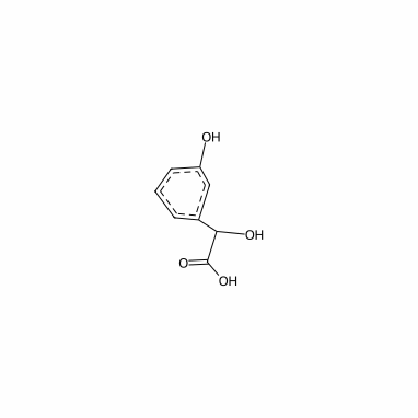 O=C(O)C(O)c1cccc(O)c1